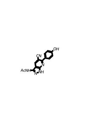 CC(=O)Nc1n[nH]c2nc(-c3ccc(O)cc3)c(C#N)cc12